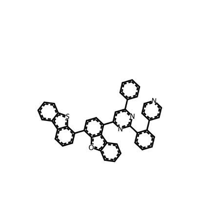 c1ccc(-c2cc(-c3ccc(-c4cccc5c4sc4ccccc45)c4oc5ccccc5c34)nc(-c3ccccc3-c3ccncc3)n2)cc1